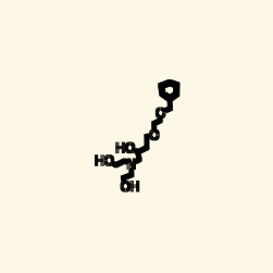 OCCN(CCO)CC(O)CCOCCOCc1ccccc1